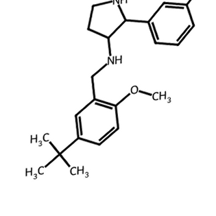 COc1ccc(C(C)(C)C)cc1CNC1CCNC1c1cccc(Cl)c1